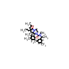 C=CCC1(CC=C)C[C@H]2[C@H](c3cccc(C)c3C)N(C(=O)N(C)[C@H](C)c3cc(C(F)(F)F)cc(C(F)(F)F)c3)CCN2C1=O